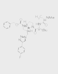 CN[C@@H](C)C(=O)N[C@H](C(=O)N1CC[C@@H]2[C@H]1[C@@H](Cn1cc(-c3ccc(F)cc3)nn1)CN2C(=O)OCc1ccccc1)C(C)(C)C